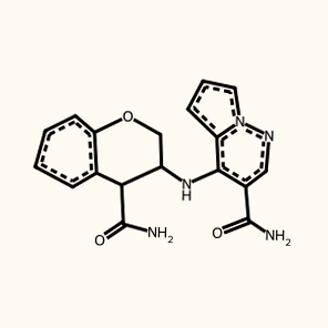 NC(=O)c1cnn2cccc2c1NC1COc2ccccc2C1C(N)=O